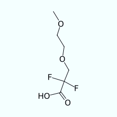 COCCOCC(F)(F)C(=O)O